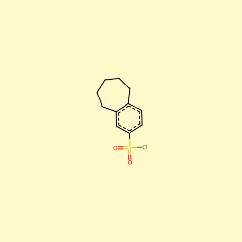 O=S(=O)(Cl)c1ccc2c(c1)CCCCC2